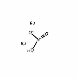 O=[N+]([O-])O.[Ru].[Ru]